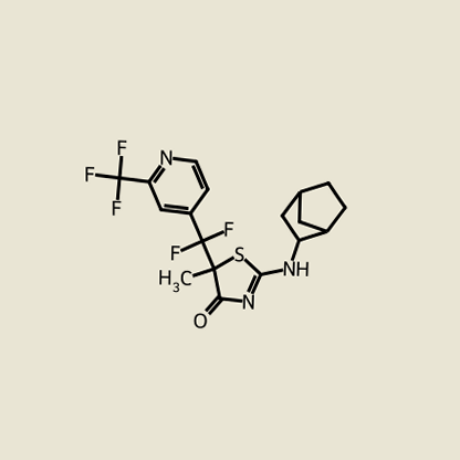 CC1(C(F)(F)c2ccnc(C(F)(F)F)c2)SC(NC2CC3CCC2C3)=NC1=O